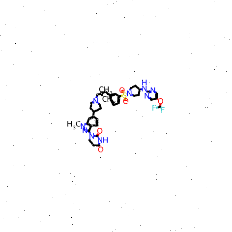 Cn1nc(N2CCC(=O)NC2=O)c2ccc(C3CCN(CC(C)(C)Cc4cccc(S(=O)(=O)N5CCC(Nc6ncc(OC(F)F)cn6)CC5)c4)CC3)cc21